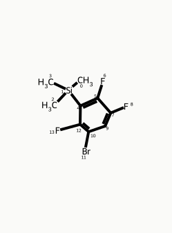 C[Si](C)(C)c1c(F)c(F)cc(Br)c1F